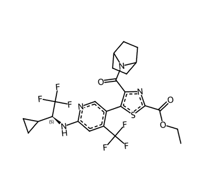 CCOC(=O)c1nc(C(=O)N2C3CCC2CC3)c(-c2cnc(N[C@@H](C3CC3)C(F)(F)F)cc2C(F)(F)F)s1